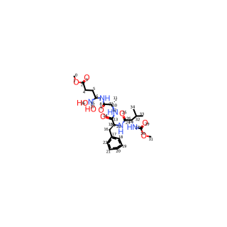 COC(=O)CCC(NC(=O)[C@H](C)NC(=O)[C@H](Cc1ccccc1)NC(=O)[C@@H](NC(=O)OC)C(C)C)N(O)O